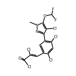 Cn1nc(-c2cc(/C=C(\Cl)C(=O)Cl)c(Cl)cc2Cl)c(Cl)c1OC(F)F